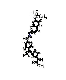 CC(C)Oc1cc2nc(/C=N/Nc3ccc([C@@H](N4CCC(NC(=O)O)C4)C(F)(F)F)cn3)ccc2cc1F